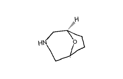 C1C[C@@H]2CNC[C]1O2